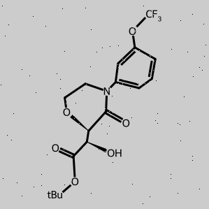 CC(C)(C)OC(=O)[C@H](O)[C@H]1OCCN(c2cccc(OC(F)(F)F)c2)C1=O